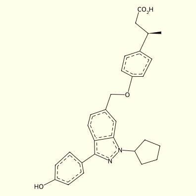 C[C@H](CC(=O)O)c1ccc(OCc2ccc3c(-c4ccc(O)cc4)nn(C4CCCC4)c3c2)cc1